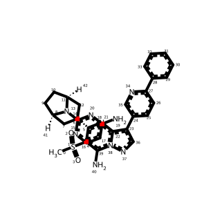 CS(=O)(=O)c1c([C@@H]2C[C@H]3CC[C@@H](C2)N3c2nccc(N)n2)nc2c(-c3ccc(-c4ccccc4)nc3)cnn2c1N